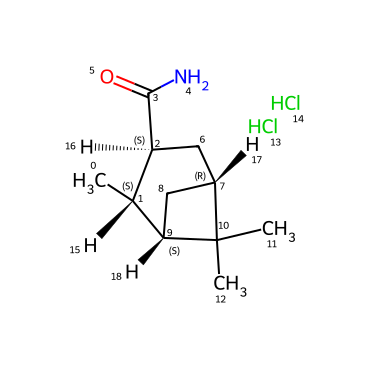 C[C@@H]1[C@@H](C(N)=O)C[C@H]2C[C@@H]1C2(C)C.Cl.Cl